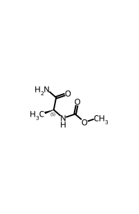 COC(=O)N[C@@H](C)C(N)=O